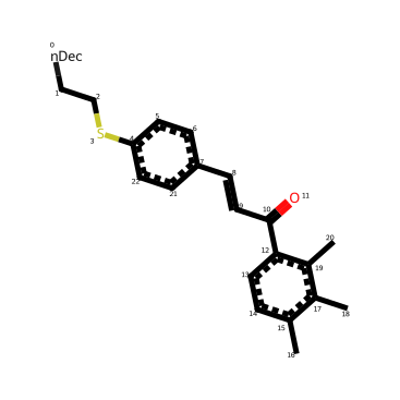 CCCCCCCCCCCCSc1ccc(/C=C/C(=O)c2ccc(C)c(C)c2C)cc1